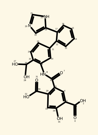 O=C(O)c1cc(C(=O)Nc2cc(-c3ccccc3-c3cnc[nH]3)ccc2C(O)O)c(C(=O)O)cc1O